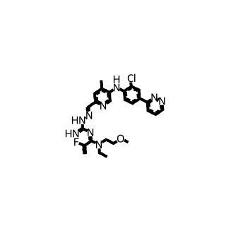 C=C(F)/C(=N\C(=N)N/N=C/c1cc(C)c(Nc2ccc(-c3cccnn3)cc2Cl)cn1)N(CC)CCOC